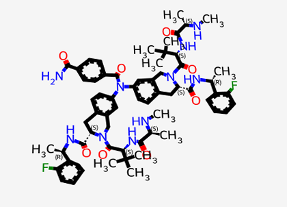 CN[C@@H](C)C(=O)N[C@H](C(=O)N1Cc2cc(N(C(=O)c3ccc(C(N)=O)cc3)c3ccc4c(c3)CN(C(=O)[C@@H](NC(=O)[C@H](C)NC)C(C)(C)C)[C@H](C(=O)N[C@H](C)c3ccccc3F)C4)ccc2C[C@H]1C(=O)N[C@H](C)c1ccccc1F)C(C)(C)C